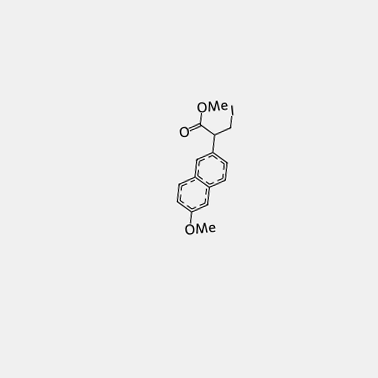 COC(=O)C(CI)c1ccc2cc(OC)ccc2c1